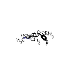 C=C(/C(C)=C\C(C)=C/C)N1CCN(C(=O)c2ccc(SF)cc2OC)CC1